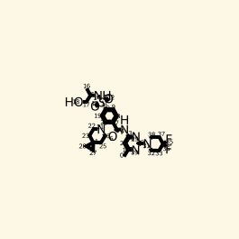 Cc1cc(NC(=O)c2ccc(S(=O)(=O)NC(C)CO)cc2N2CCC3(CC2)CC3)nc(N2CCC(F)(F)CC2)n1